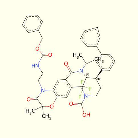 CC(C)N(C(=O)c1cc2c(cc1C(F)(F)F)OC(C)(C)C(=O)N2CCNC(=O)OCc1ccccc1)[C@H]1CN(C(=O)O)CC[C@@H]1c1cccc(-c2ccccc2)c1